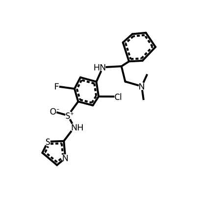 CN(C)CC(Nc1cc(F)c([S+]([O-])Nc2nccs2)cc1Cl)c1ccccc1